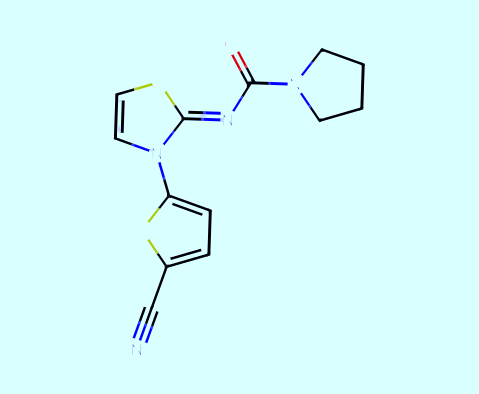 N#Cc1ccc(-n2ccs/c2=N\C(=O)N2CCCC2)s1